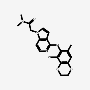 Cc1cc2c(c(Cl)c1Nc1nccc3c1ccn3CC(=O)N(C)C)OCCO2